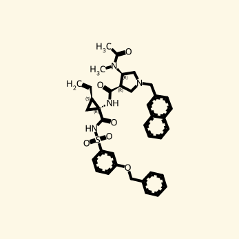 C=C[C@@H]1C[C@]1(NC(=O)[C@@H]1CN(Cc2ccc3ccccc3c2)C[C@@H]1N(C)C(C)=O)C(=O)NS(=O)(=O)c1cccc(OCc2ccccc2)c1